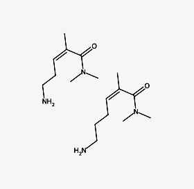 CC(=CCCCN)C(=O)N(C)C.CC(=CCCN)C(=O)N(C)C